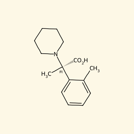 Cc1ccccc1[C@](C)(C(=O)O)N1CCCCC1